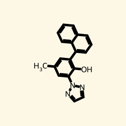 Cc1cc(-c2cccc3ccccc23)c(O)c(-n2nccn2)c1